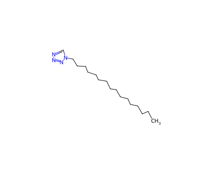 CCCCCCCCCCCCCCCCn1cnnn1